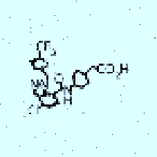 O=C(O)CC1CCC(NC(=O)c2ccc(Cl)c3cnn(Cc4ccc(C(F)(F)F)s4)c23)CC1